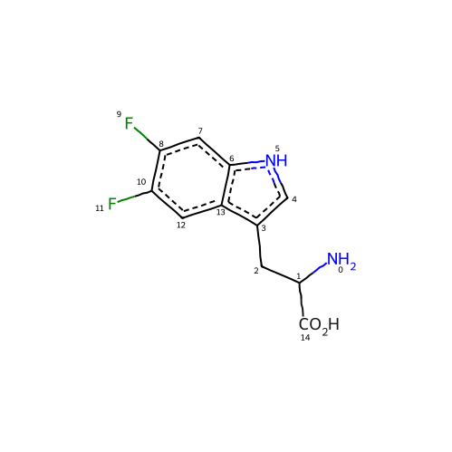 NC(Cc1c[nH]c2cc(F)c(F)cc12)C(=O)O